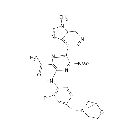 CNc1nc(Nc2ccc(CN3CC4CC3CO4)cc2F)c(C(N)=O)nc1-c1cncc2c1ncn2C